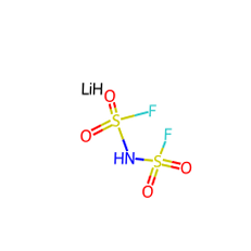 O=S(=O)(F)NS(=O)(=O)F.[LiH]